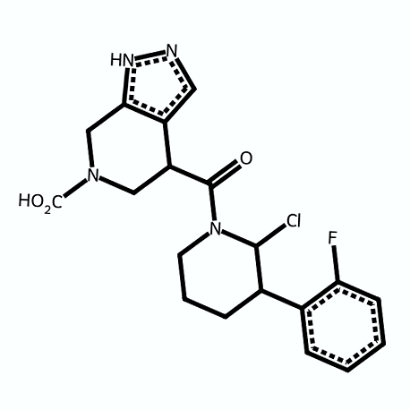 O=C(O)N1Cc2[nH]ncc2C(C(=O)N2CCCC(c3ccccc3F)C2Cl)C1